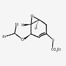 CCOC(=O)OC1=C[C@@H](OC(CC)CC)[C@@H]2O[C@H]2C1